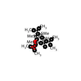 CSN1c2cc3c(cc2B2c4cc5c(cc4N(SC)c4cc(N(c6ccc(C)cc6)c6ccc(C)cc6)cc1c42)N(SC)c1cc(N(c2ccc(C)cc2)c2ccc(C)cc2)cc2c1B5c1ccccc1N2c1ccccc1)B1c2ccccc2N(c2ccccc2)c2cc(N(c4ccc(C)cc4)c4ccc(C)cc4)cc(c21)N3